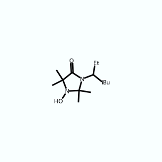 CCC(C)C(CC)N1C(=O)C(C)(C)N(O)C1(C)C